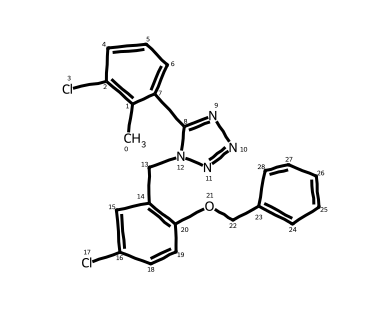 Cc1c(Cl)cccc1-c1nnnn1Cc1cc(Cl)ccc1OCc1ccccc1